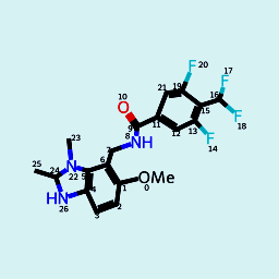 COc1ccc2c(c1CNC(=O)c1cc(F)c(C(F)F)c(F)c1)N(C)C(C)N2